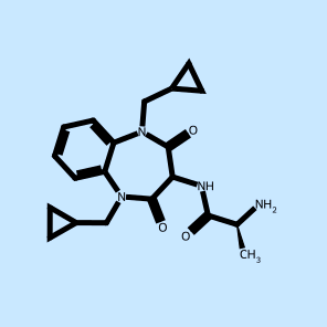 C[C@H](N)C(=O)NC1C(=O)N(CC2CC2)c2ccccc2N(CC2CC2)C1=O